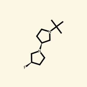 CC(C)(C)N1CC[C@H](N2CC[C@@H](F)C2)C1